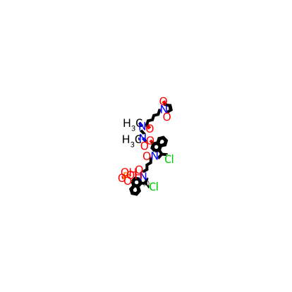 CN(CCN(C)C(=O)Oc1cc2c(c3ccccc13)C(CCl)CN2C(=O)CCCC(=O)N1C[C@@H](CCl)c2c1cc(OP(=O)(O)O)c1ccccc21)C(=O)CCCCCN1C(=O)C=CC1=O